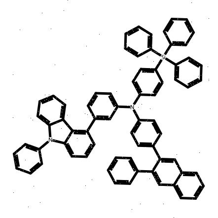 c1ccc(-c2cc3ccccc3cc2-c2ccc(N(c3ccc([Si](c4ccccc4)(c4ccccc4)c4ccccc4)cc3)c3cccc(-c4cccc5c4c4ccccc4n5-c4ccccc4)c3)cc2)cc1